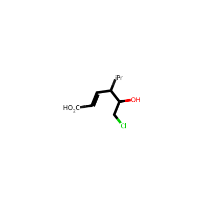 CC(C)C(C=CC(=O)O)C(O)CCl